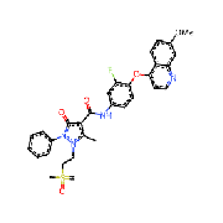 C=S(C)(=O)CCn1c(C)c(C(=O)Nc2ccc(Oc3ccnc4cc(OC)ccc34)c(F)c2)c(=O)n1-c1ccccc1